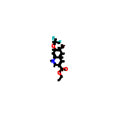 CCOC(=O)c1cnc2cc(OC(F)F)c(Br)cc2c1